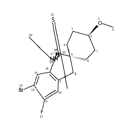 CO[C@H]1CC[C@]2(CC1)Cc1cc(F)c(Br)cc1C21N=C(C)C(=S)N1